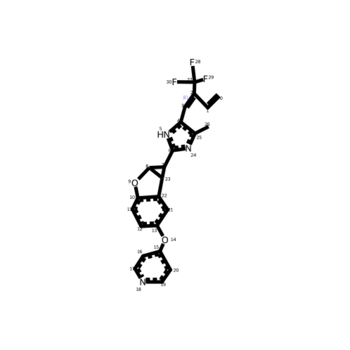 C=C/C(=C\c1[nH]c(C2C3Oc4ccc(Oc5ccncc5)cc4C32)nc1C)C(F)(F)F